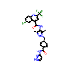 Cc1nn(Cc2ccc(C(=O)Nc3cc[nH]n3)cc2)c(C)c1NC(=O)c1cc(C(F)(F)F)nc2ccc(Br)cc12